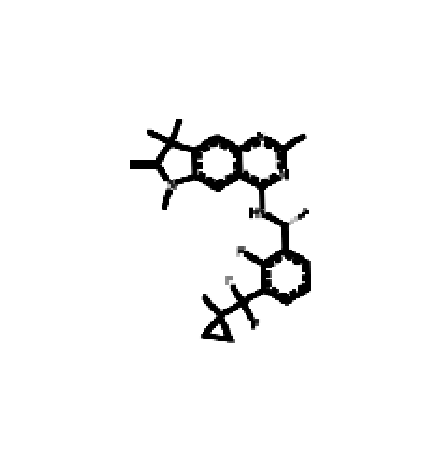 C=C1N(C)c2cc3c(N[C@H](C)c4cccc(C(F)(F)C5(C)CC5)c4F)nc(C)nc3cc2C1(C)C